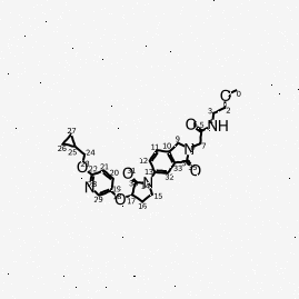 COCCNC(=O)CN1Cc2ccc(N3CC[C@@H](Oc4ccc(OCC5CC5)nc4)C3=O)cc2C1=O